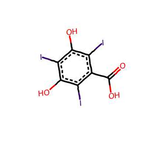 O=C(O)c1c(I)c(O)c(I)c(O)c1I